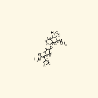 COc1cc2nccc(Oc3ccc(N(C(N)=O)c4nccs4)cn3)c2cc1OC